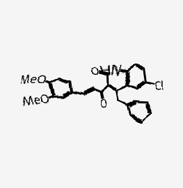 COc1ccc(/C=C/C(=O)c2c(Cc3ccccc3)c3cc(Cl)ccc3[nH]c2=O)cc1OC